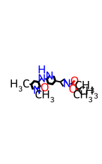 Cc1cc(Nc2ccc(C3CN(C(=O)OC(C)(C)C)C3)cn2)c(=O)n(C)c1